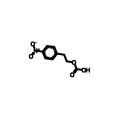 O=C(O)OCCc1ccc([N+](=O)[O-])cc1